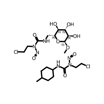 CC1CCC(NC(=O)N(CCCl)N=O)CC1.CO[C@H]1O[C@H](CNC(=O)N(CCCl)N=O)[C@@H](O)[C@H](O)[C@H]1O